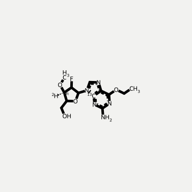 [2H][C@@]1(OC)C(CO)OC(n2cnc3c(OCC)nc(N)n[13c]32)C1F